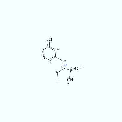 CC/C(=C\c1cncc(Cl)c1)C(=O)O